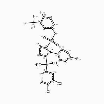 CC(C)(c1ccc(Cl)c(Cl)c1)c1cnc(S(=O)(=O)Cc2ccc(F)c(C(F)(F)F)c2)n1-c1ccc(F)cc1